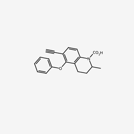 C#Cc1ccc2c(c1Oc1ccccc1)CCC(C)N2C(=O)O